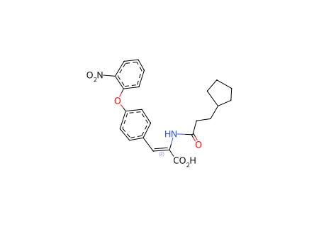 O=C(CCC1CCCC1)N/C(=C\c1ccc(Oc2ccccc2[N+](=O)[O-])cc1)C(=O)O